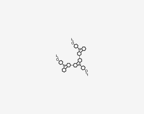 ICOc1ccc(-n2c3ccccc3c3cc(-c4ccc5c(c4)c4cc(-c6ccc7c(c6)c6ccccc6n7-c6ccc(OCI)cc6)ccc4n5-c4ccc(OCI)cc4)ccc32)cc1